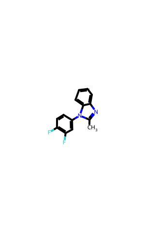 Cc1nc2c[c]ccc2n1-c1ccc(F)c(F)c1